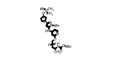 C[C@@H](CC(F)(F)COc1cc(Nc2cc([C@H]3CC[C@@H](O[Si](C)(C)C(C)(C)C)C3)nn2C(C)(C)C)ccn1)NC(=O)OC(C)(C)C